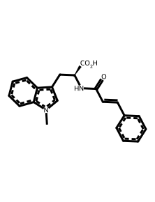 Cn1cc(C[C@H](NC(=O)/C=C/c2ccccc2)C(=O)O)c2ccccc21